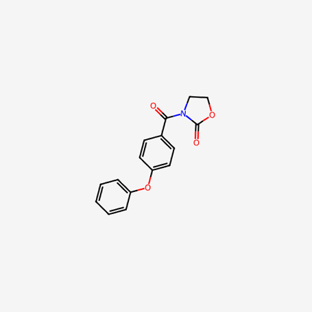 O=C1OCCN1C(=O)c1ccc(Oc2ccccc2)cc1